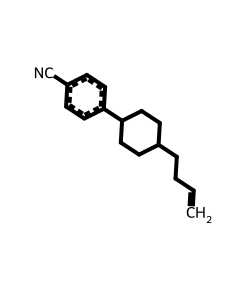 C=CCCC1CCC(c2ccc(C#N)cc2)CC1